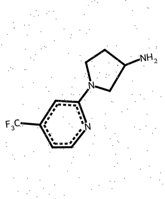 NC1CCN(c2cc(C(F)(F)F)ccn2)C1